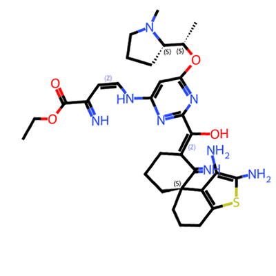 CCOC(=O)C(=N)/C=C\Nc1cc(O[C@@H](C)[C@@H]2CCCN2C)nc(/C(O)=C2\CCC[C@@]3(CCCc4sc(N)c(N)c43)C2=N)n1